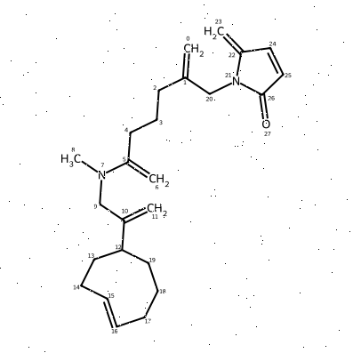 C=C(CCCC(=C)N(C)CC(=C)C1CC/C=C/CCC1)CN1C(=C)C=CC1=O